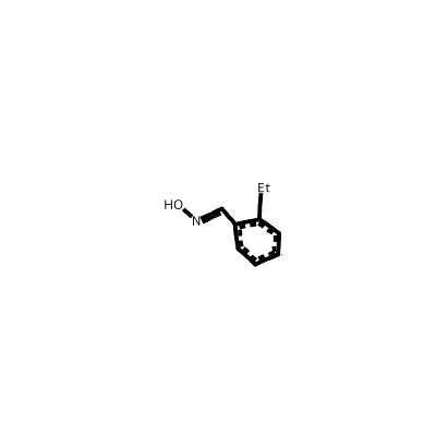 CCc1c[c]ccc1C=NO